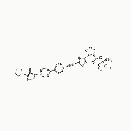 CC(C)(C)OC(=O)N1CCCC1c1ncc(C#Cc2ccc(-c3ccc(-c4cnc(C5CCCC5)[nH]4)cc3)cc2)[nH]1